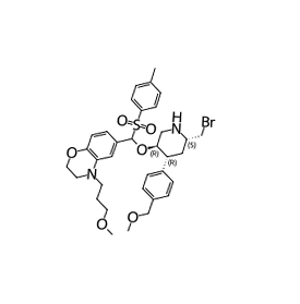 COCCCN1CCOc2ccc(C(O[C@H]3CN[C@H](CBr)C[C@@H]3c3ccc(COC)cc3)S(=O)(=O)c3ccc(C)cc3)cc21